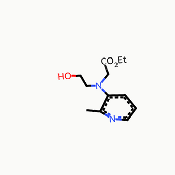 CCOC(=O)CN(CCO)c1cccnc1C